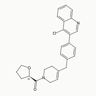 O=C([C@H]1CCCO1)N1CC=C(Cc2ccc(-c3cnc4ccccc4c3Cl)cc2)CC1